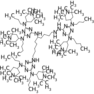 CCCCN(c1nc(NCCCCCC(CCCCNNc2nc(N(CCCC)C3CC(C)(C)N(C)C(C)(C)C3)nc(N(CCCC)C3CC(C)(C)N(C)C(C)(C)C3)n2)Nc2nc(N(CCCC)C3CC(C)(C)N(C)C(C)(C)C3)nc(N(CCCC)C3CC(C)(C)N(C)C(C)(C)C3)n2)nc(N(CCCC)C2CC(C)(C)N(C)C(C)(C)C2)n1)C1CC(C)(C)N(C)C(C)(C)C1